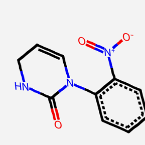 O=C1NCC=CN1c1ccccc1[N+](=O)[O-]